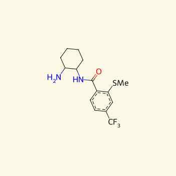 CSc1cc(C(F)(F)F)ccc1C(=O)NC1CCCCC1N